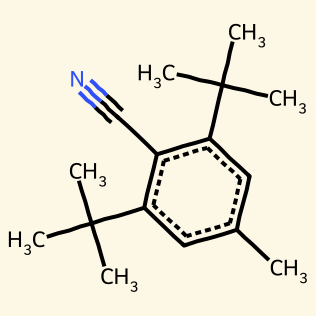 Cc1cc(C(C)(C)C)c(C#N)c(C(C)(C)C)c1